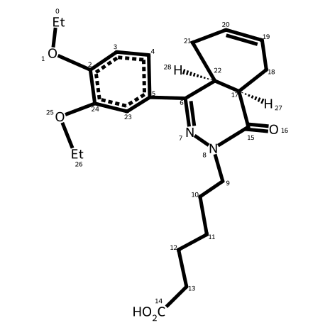 CCOc1ccc(C2=NN(CCCCCC(=O)O)C(=O)[C@@H]3CC=CC[C@H]23)cc1OCC